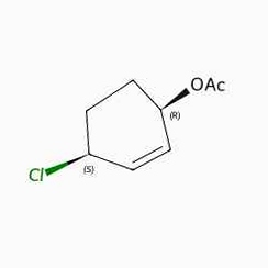 CC(=O)O[C@H]1C=C[C@@H](Cl)CC1